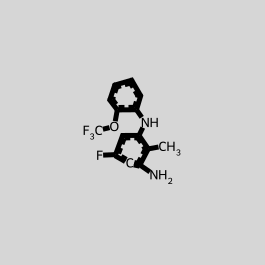 Cc1c(N)cc(F)cc1Nc1ccccc1OC(F)(F)F